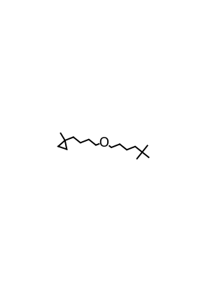 CC(C)(C)CCCCOCCCCC1(C)CC1